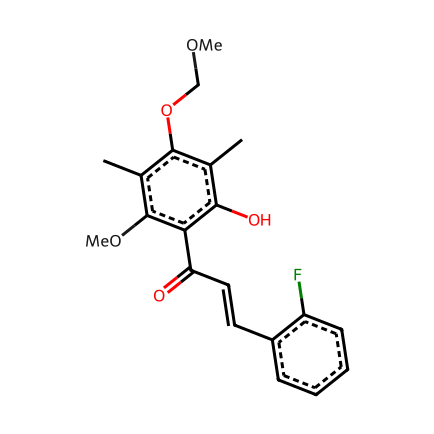 COCOc1c(C)c(O)c(C(=O)/C=C/c2ccccc2F)c(OC)c1C